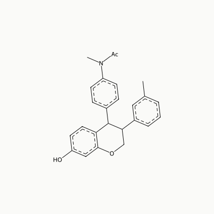 CC(=O)N(C)c1ccc(C2c3ccc(O)cc3OCC2c2cccc(C)c2)cc1